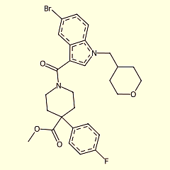 COC(=O)C1(c2ccc(F)cc2)CCN(C(=O)c2cn(CC3CCOCC3)c3ccc(Br)cc23)CC1